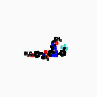 COc1ccc(CN(C)S(=O)(=O)c2cnc(NCc3cccc(C(F)(F)F)c3)c(-c3cn4c(n3)OC(C)C4)c2)cc1